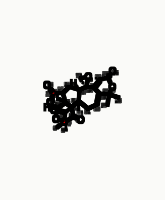 COC(=O)[C@]12C(=O)[C@H](C)O[C@@H]3OC(=O)[C@](C)(C[C@H]4[C@]5(CO5)C5=CC(=O)OC(C)(C)C5=CC[C@@]41C)[C@@H]32